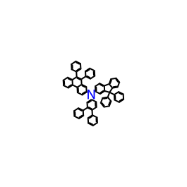 c1ccc(-c2ccc(N(c3ccc4c(c3)C(c3ccccc3)(c3ccccc3)c3ccccc3-4)c3ccc4c(c3)c(-c3ccccc3)c(-c3ccccc3)c3ccccc34)cc2-c2ccccc2)cc1